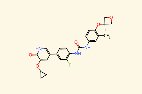 CC1(Oc2ccc(NC(=O)Nc3ccc(-c4c[nH]c(=O)c(OC5CC5)c4)cc3F)cc2C(F)(F)F)COC1